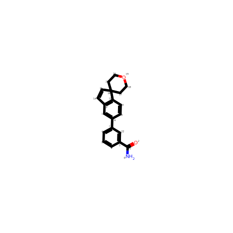 NC(=O)c1cccc(-c2ccc3c(c2)C=CC32CCOCC2)c1